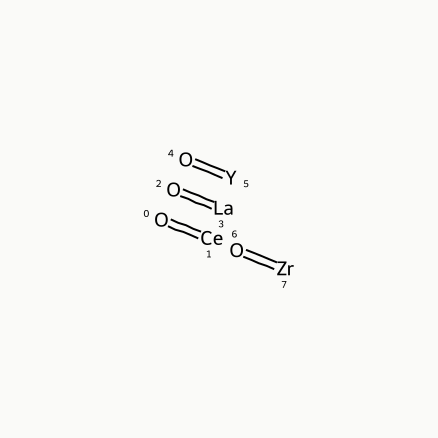 [O]=[Ce].[O]=[La].[O]=[Y].[O]=[Zr]